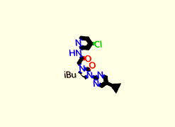 CC[C@H](C)[C@H]1CN(c2ncc(C3CC3)cn2)C(=O)N1CC(=O)Nc1cc(Cl)ccn1